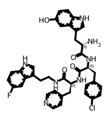 N[C@@H](Cc1c[nH]c2ccc(O)cc12)C(=O)N[C@@H](Cc1ccc(Cl)cc1)C(=O)N[C@@H](Cc1ccncc1)C(=O)NCCc1c[nH]c2ccc(F)cc12